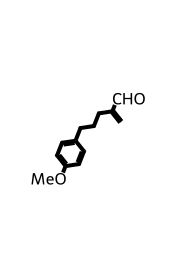 C=C(C=O)CCCc1ccc(OC)cc1